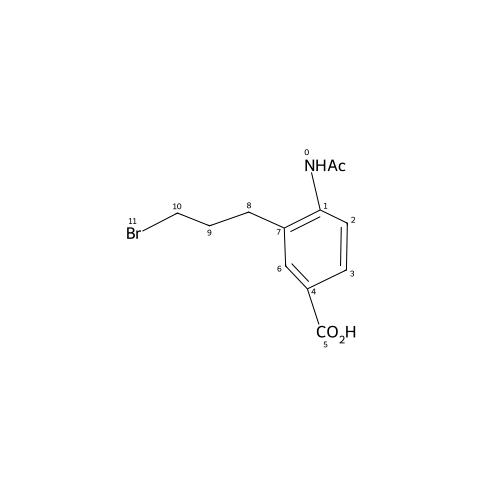 CC(=O)Nc1ccc(C(=O)O)cc1CCCBr